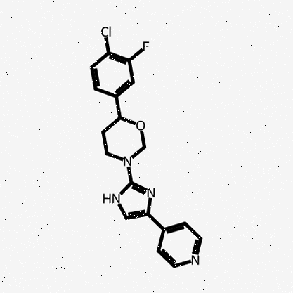 Fc1cc(C2CCN(c3nc(-c4ccncc4)c[nH]3)CO2)ccc1Cl